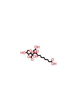 O=C(O)CCCCCCCC1OC(O)CC1C1(O)C(=O)OC2C(O)COC21O